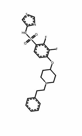 O=S(=O)(Nc1cscn1)c1ccc(OC2CCN(CCc3ccccc3)CC2)c(F)c1F